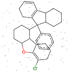 ClC1=C2OC3CCCC(C4(c5ccccc5)C5=C(C=CCC5)C5CCCCC54)C3C2CCC1